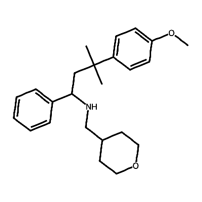 COc1ccc(C(C)(C)CC(NCC2CCOCC2)c2ccccc2)cc1